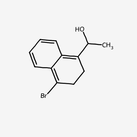 CC(O)C1=c2ccccc2=C(Br)CC1